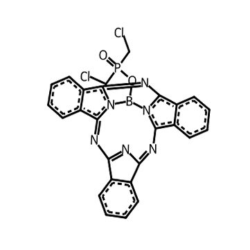 O=P(CCl)(CCl)OB1n2c3c4ccccc4c2/N=C2N=C(/N=c4/c5ccccc5c(n41)=N3)c1ccccc1\2